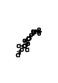 C[C@@H](CCl)COc1c(Cl)cc(S(=O)(=O)c2ccc(OC[C@H](O)CNS(C)(=O)=O)cc2)cc1Cl